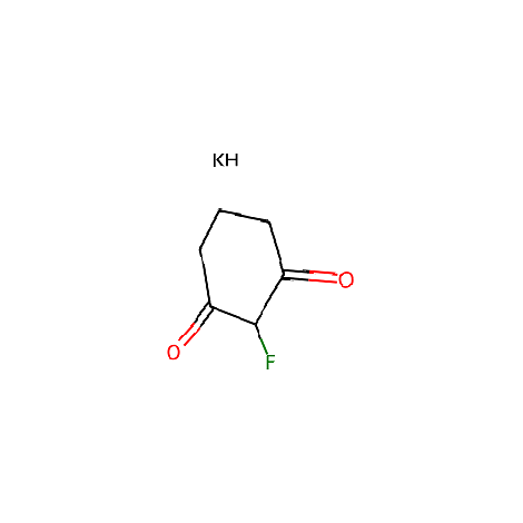 O=C1CCCC(=O)C1F.[KH]